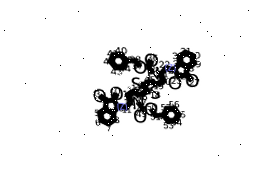 O=C1C(=O)c2ccccc2/C1=C/c1cc2sc3c(sc4cc(/C=C5\C(=O)C(=O)c6ccccc65)n(C(=O)OCc5ccccc5)c43)c2n1C(=O)OCc1ccccc1